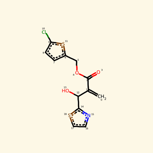 C=C(C(=O)OCc1ccc(Cl)s1)C(O)c1nccs1